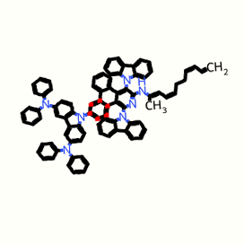 C=C/C=C\CC/C=C\C=C(/C)Nc1nc(-n2c3ccccc3c3ccccc32)c(-c2ccc(-n3c4ccc(N(c5ccccc5)c5ccccc5)cc4c4cc(N(c5ccccc5)c5ccccc5)ccc43)cc2)c(-c2ccccc2-c2ccccc2)c1-n1c2ccccc2c2ccccc21